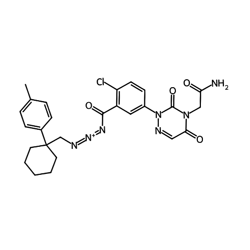 Cc1ccc(C2(CN=[N+]=NC(=O)c3cc(-n4ncc(=O)n(CC(N)=O)c4=O)ccc3Cl)CCCCC2)cc1